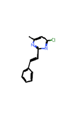 Cc1cc(Cl)nc(C=Cc2ccccc2)n1